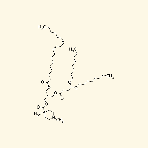 CCCCC/C=C\C/C=C\CCCCCCCC(=O)OCC(COC(=O)CCC(OCCCCCCCC)OCCCCCCCC)COC(=O)C1(C)CCN(C)CC1